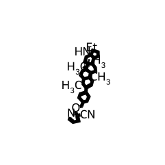 CCNC12CCCC1C1CCC3C4(C)CC=C(C5=CCC(COc6ncccc6C#N)CC5)C(C)C4CCC3(C)[C@]1(C)CC2